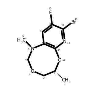 C[C@@H]1COCN(C)c2cc(F)c(Br)nc2O1